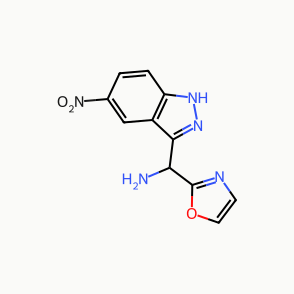 NC(c1ncco1)c1n[nH]c2ccc([N+](=O)[O-])cc12